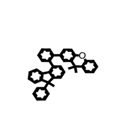 CC1(C)c2ccccc2Oc2ccc(-c3ccccc3-c3cccc4c3-c3ccccc3C4(C)c3ccccc3)cc21